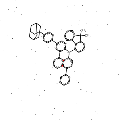 CC1(C)c2ccccc2-c2c(N(c3ccc(-c4ccccc4)cc3)c3ccc(-c4ccc(C56CC7CC(CC(C7)C5)C6)cc4)cc3-c3ccccc3)cccc21